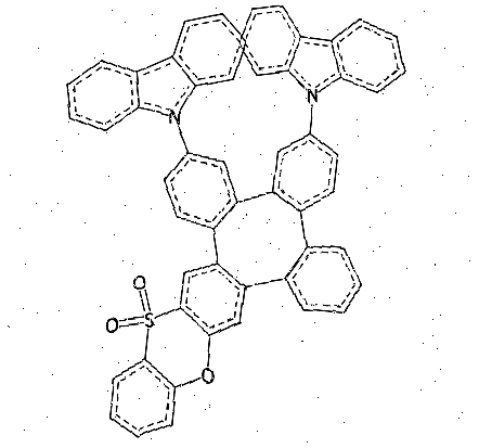 O=S1(=O)c2ccccc2Oc2cc3c(cc21)-c1ccc(-n2c4ccccc4c4ccccc42)cc1-c1cc(-n2c4ccccc4c4ccccc42)ccc1-c1ccccc1-3